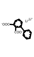 O=C([O-])c1cccc(-c2ccccc2)c1C(=O)[O-].[Li+].[Li+]